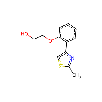 Cc1nc(-c2ccccc2OCCO)cs1